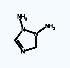 NN1C=NCN1N